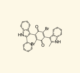 Cc1[nH]c2ccccc2c1C1=C(Br)C(=O)C(c2c(-c3ccccc3)[nH]c3ccccc23)=C(Br)C1=O